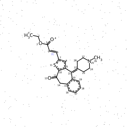 CCOC(=O)/C=C/c1cc2c(s1)C(=O)Cc1ccccc1C2=C1CCN(C)CC1